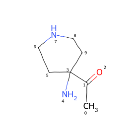 CC(=O)C1(N)CCNCC1